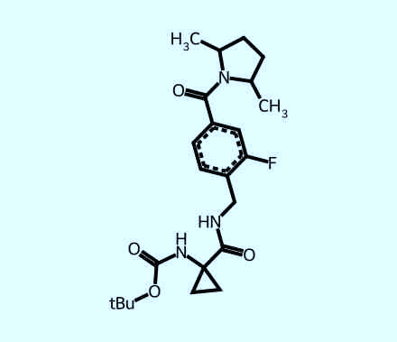 CC1CCC(C)N1C(=O)c1ccc(CNC(=O)C2(NC(=O)OC(C)(C)C)CC2)c(F)c1